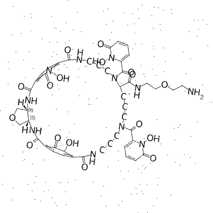 NCCOCCNC(=O)C1CCCN(C(=O)c2cccc(=O)n2O)CCCNC(=O)C2=CC=C(C(=O)N[C@@H]3COC[C@@H]3NC(=O)c3ccc(n(O)c3=O)C(=O)NCCCN1C(=O)c1cccc(=O)n1O)C(=O)C2O